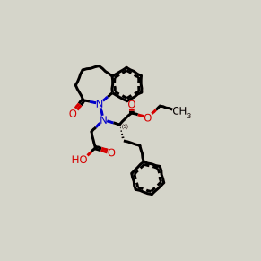 CCOC(=O)[C@H](CCc1ccccc1)N(CC(=O)O)N1C(=O)CCCc2ccccc21